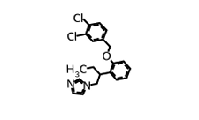 CCC(Cn1ccnc1)c1ccccc1OCc1ccc(Cl)c(Cl)c1